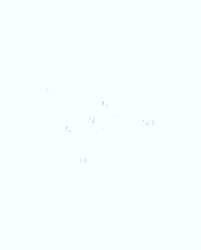 C=CCN1c2c(cc(Cl)cc2[N+](=O)[O-])CN(CC2CCNCC2)S1(=O)=O.Cl